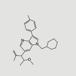 C=C(C)C(c1cnc2c(-c3ccc(C)cc3)cn(CC3CCCCC3)c2c1)C(C)OC